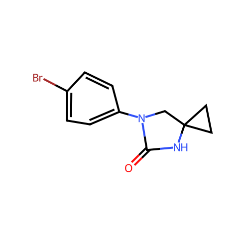 O=C1NC2(CC2)CN1c1ccc(Br)cc1